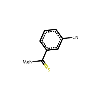 CNC(=S)c1cccc(C#N)c1